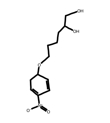 O=[N+]([O-])C1=CCC(OCCCCC(O)CO)C=C1